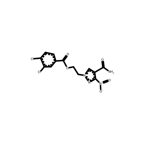 NC(=O)c1cn(CCOC(=O)c2ccc(Cl)c(Cl)c2)nc1[N+](=O)[O-]